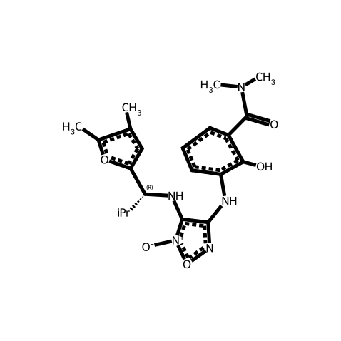 Cc1cc([C@H](Nc2c(Nc3cccc(C(=O)N(C)C)c3O)no[n+]2[O-])C(C)C)oc1C